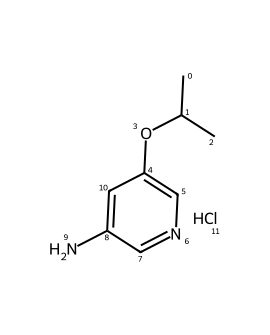 CC(C)Oc1cncc(N)c1.Cl